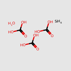 O.O=C(O)O.O=C(O)O.O=C(O)O.[SiH4]